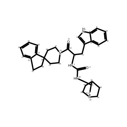 O=C(NC(Cc1c[nH]c2ccccc12)C(=O)N1CCC2(CCc3ccccc32)CC1)NC1CN2CCC1CC2